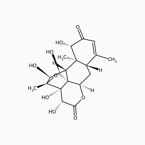 CC1=CC(=O)[C@@H](O)[C@]2(C)[C@H]3[C@@H](O)[C@H](O)[C@@]4(C)OC[C@@]35[C@@H](C[C@@H]12)OC(=O)[C@H](O)[C@]54O